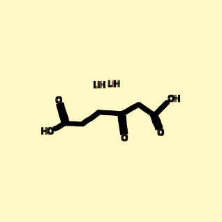 O=C(O)CCC(=O)CC(=O)O.[LiH].[LiH]